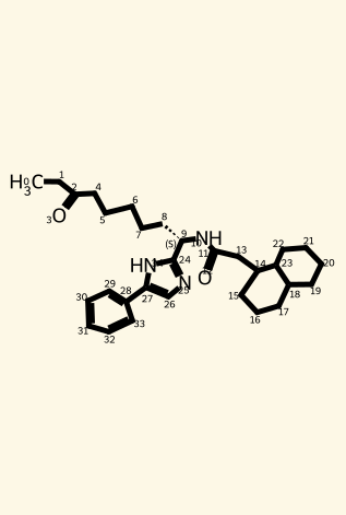 CCC(=O)CCCCC[C@H](NC(=O)CC1CCCC2CCCCC21)c1ncc(-c2ccccc2)[nH]1